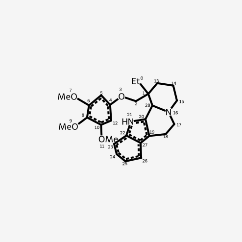 CCC1(COc2cc(OC)c(OC)c(OC)c2)CCCN2CCc3c([nH]c4ccccc34)C21